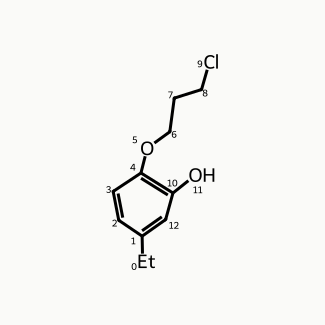 CCc1ccc(OCCCCl)c(O)c1